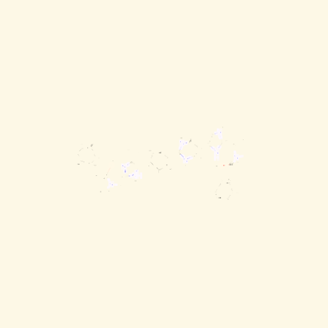 CCCN(Cc1nc(C(F)(F)F)c(-c2ccc(-c3ncc(-c4cnc([C@@H]5CCCN5C(=O)Cc5ccccc5)[nH]4)cn3)cc2)[nH]1)C(=O)Cc1ccccc1